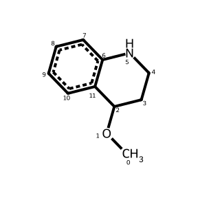 COC1CCNc2ccccc21